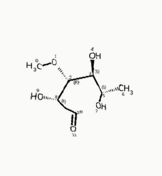 CO[C@H]([C@@H](O)[C@H](C)O)[C@@H](O)C=O